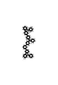 c1ccc(N(c2ccc(-c3cccc(-c4ccc5c(c4)c4ccccc4n5-c4ccccc4)c3)cc2)c2ccc(-c3ccc4c5ccccc5n(-c5ccccc5)c4c3)cc2)cc1